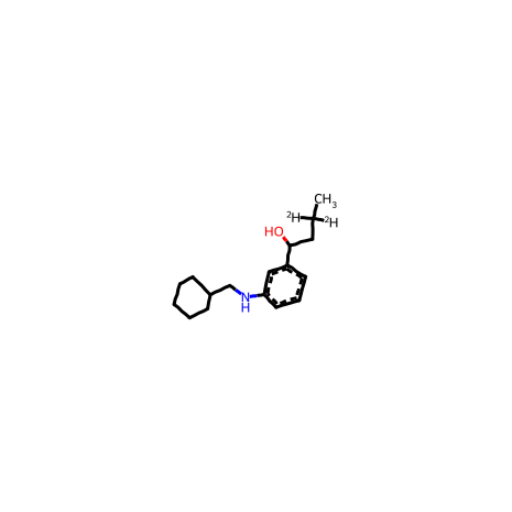 [2H]C([2H])(C)CC(O)c1cccc(NCC2CCCCC2)c1